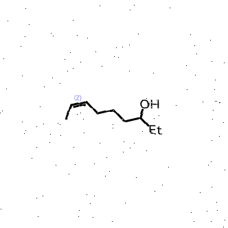 C/C=C\CCCC(O)CC